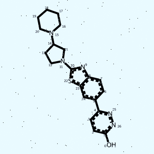 Oc1ccc(-c2ccc3nc(N4CCC(N5CCCCC5)C4)sc3c2)nn1